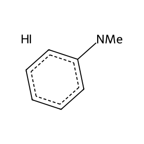 CNc1ccccc1.I